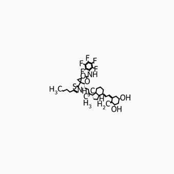 C=C1/C(=C\C=C2/CCC[C@]3(C)[C@@H]([C@H](C)CC[C@@H](OC(=O)Nc4c(F)c(F)c(F)c(F)c4F)C4(c5ncc(CCCC)s5)CC4)CC[C@@H]23)C[C@@H](O)C[C@@H]1O